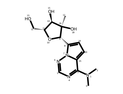 CN(C)c1ncnn2c([C@@H]3O[C@H](CO)[C@@H](O)[C@@]3(C)O)ccc12